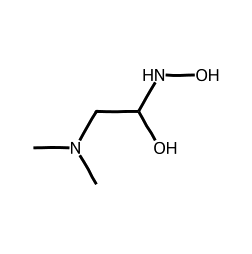 CN(C)CC(O)NO